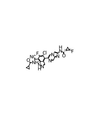 N#CC(NC(=O)C1CC1)c1c(F)c(Cl)c(-c2cn3cc(NC(=O)[C@@H]4C[C@@H]4F)nc3cn2)c2cn[nH]c12